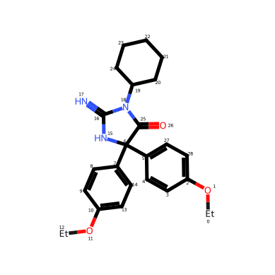 CCOc1ccc(C2(c3ccc(OCC)cc3)NC(=N)N(C3CCCCC3)C2=O)cc1